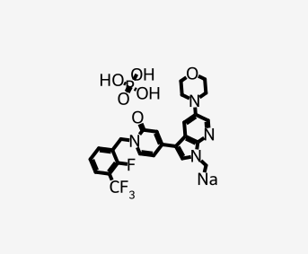 O=P(O)(O)O.O=c1cc(-c2cn([CH2][Na])c3ncc(N4CCOCC4)cc23)ccn1Cc1cccc(C(F)(F)F)c1F